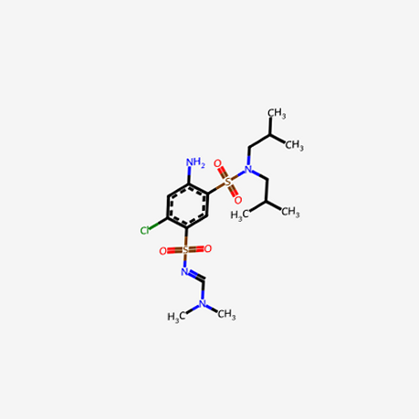 CC(C)CN(CC(C)C)S(=O)(=O)c1cc(S(=O)(=O)N=CN(C)C)c(Cl)cc1N